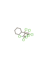 Cl[Si](Cl)(Cl)[Si](Cl)(C1CCCCC1)[Si](Cl)(Cl)Cl